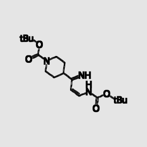 CC(C)(C)OC(=O)N/C=C\C(=N)C1CCN(C(=O)OC(C)(C)C)CC1